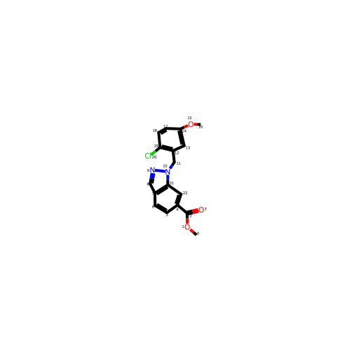 COC(=O)c1ccc2cnn(Cc3cc(OC)ccc3Cl)c2c1